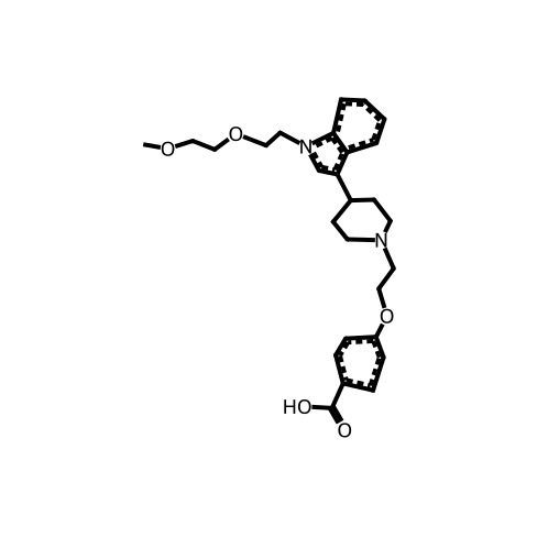 COCCOCCn1cc(C2CCN(CCOc3ccc(C(=O)O)cc3)CC2)c2ccccc21